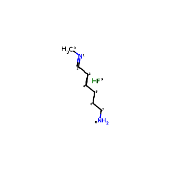 CN=CCCCCCN.F